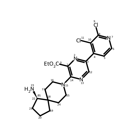 CCOC(=O)c1nc(-c2ccnc(Cl)c2Cl)cnc1N1CCC2(CCC[C@H]2N)CC1